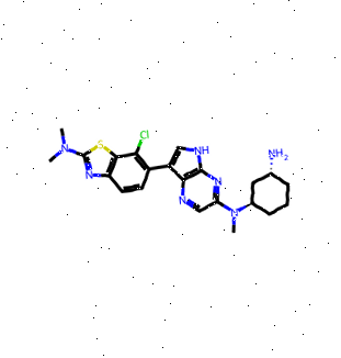 CN(C)c1nc2ccc(-c3c[nH]c4nc(N(C)[C@@H]5CCC[C@@H](N)C5)cnc34)c(Cl)c2s1